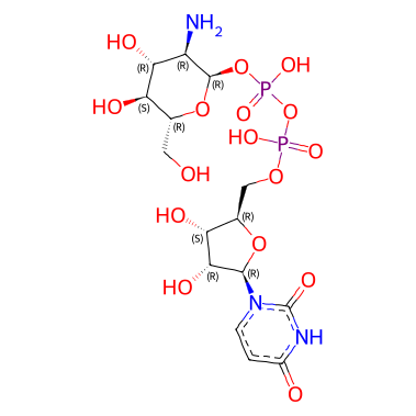 N[C@H]1[C@@H](OP(=O)(O)OP(=O)(O)OC[C@H]2O[C@@H](n3ccc(=O)[nH]c3=O)[C@H](O)[C@@H]2O)O[C@H](CO)[C@@H](O)[C@@H]1O